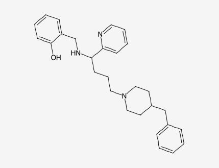 Oc1ccccc1CNC(CCCN1CCC(Cc2ccccc2)CC1)c1ccccn1